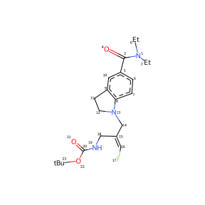 CCN(CC)C(=O)c1ccc2c(c1)CCN2C/C(=C/F)CNC(=O)OC(C)(C)C